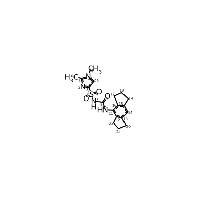 Cc1nc(S(=O)(=O)NC(=O)Nc2c3c(cc4c2CCC4)CCC3)cn1C